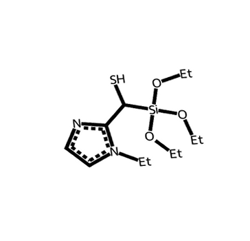 CCO[Si](OCC)(OCC)C(S)c1nccn1CC